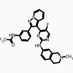 CN1CCc2ccc(Nc3ncc(F)c(-c4c(-c5cccc(NC(=O)C(F)(F)F)c5)nn5ccccc45)n3)cc2C1